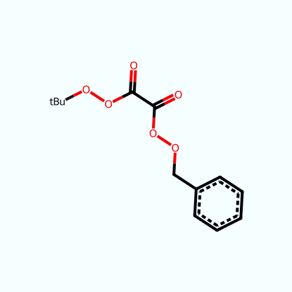 CC(C)(C)OOC(=O)C(=O)OOCc1ccccc1